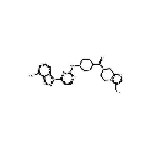 Cc1cccc2c1nnn2-c1ccnc(NC2CCC(C(=O)N3CCn4c(C)cnc4C3)CC2)n1